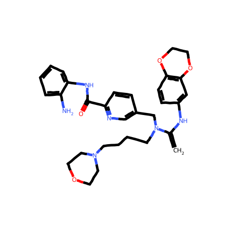 C=C(Nc1ccc2c(c1)OCCO2)N(CCCCN1CCOCC1)Cc1ccc(C(=O)Nc2ccccc2N)nc1